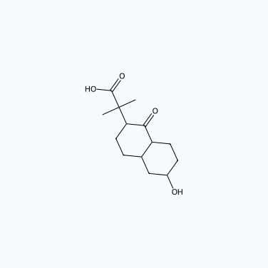 CC(C)(C(=O)O)C1CCC2CC(O)CCC2C1=O